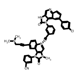 CN(C)CC#Cc1ccc2c(c1)c1c(c[n+]2[N+]#Cc2cccc(-n3c(=O)[nH]c4cnc5ccc(-c6ccc(Cl)cc6)cc5c43)c2)n(C)c(=O)n1-c1cccc(C#N)c1